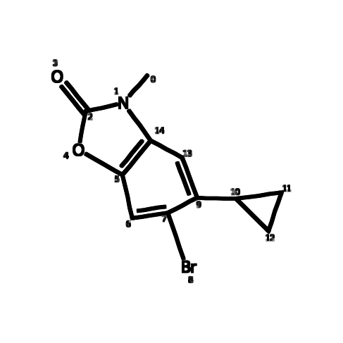 Cn1c(=O)oc2cc(Br)c(C3CC3)cc21